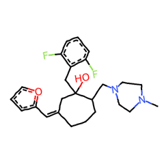 CN1CCN(CC2CCCC(=Cc3ccco3)CC2(O)Cc2c(F)cccc2F)CC1